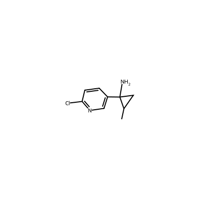 CC1CC1(N)c1ccc(Cl)nc1